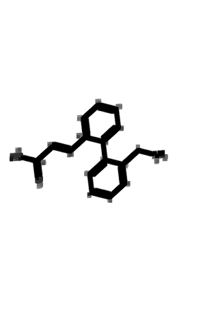 NCc1ccccc1-c1ccccc1C=CC(=O)O